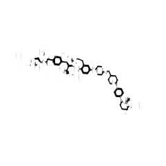 Cc1c(C(=O)Nc2cc(C)n(C)n2)ccc(-c2nn3c(c2C(N)=O)Nc2ccc(N4CCN(CC5CCN(c6ccc(N7CCC(=O)NC7=O)cc6)CC5)CC4)cc2CC3)c1F